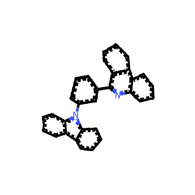 c1cc(-c2nc3ccccc3c3ccccc23)cc(-n2c3ccccc3c3ccccc32)c1